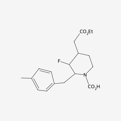 CCOC(=O)CC1CCN(C(=O)O)C(Cc2ccc(C)cc2)C1F